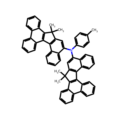 Cc1ccc(N(c2cc3c(c4ccccc24)-c2c(c4ccccc4c4ccccc24)C3(C)C)c2cc3c(c4ccccc24)-c2c(c4ccccc4c4ccccc24)C3(C)C)cc1